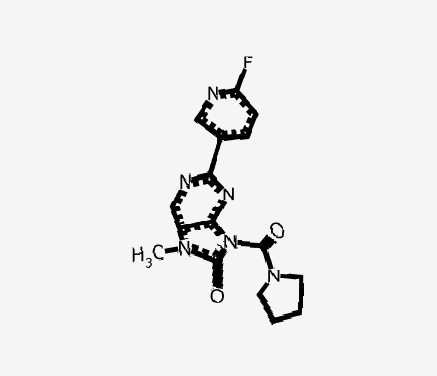 Cn1c(=O)n(C(=O)N2CCCC2)c2nc(-c3ccc(F)nc3)ncc21